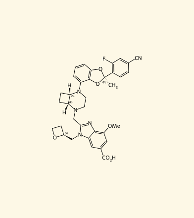 COc1cc(C(=O)O)cc2c1nc(CN1CCN(c3cccc4c3O[C@](C)(c3ccc(C#N)cc3F)O4)[C@H]3CC[C@H]31)n2C[C@@H]1CCO1